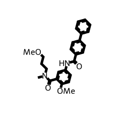 COCCCN(C)C(=O)c1cc(NC(=O)c2ccc(-c3ccccc3)cc2)ccc1OC